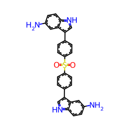 Nc1ccc2[nH]cc(-c3ccc(S(=O)(=O)c4ccc(-c5c[nH]c6ccc(N)cc56)cc4)cc3)c2c1